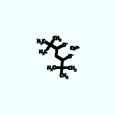 CC(C)(C)C([O-])CC([O-])C(C)(C)C.[Ca+2]